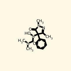 CC1=NN(C)C(=O)C1(c1ccccc1)N(O)C(=O)N(C)C